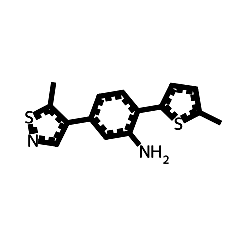 Cc1ccc(-c2ccc(-c3cnsc3C)cc2N)s1